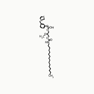 CCCCCCCCCCCCCCCCNC(=O)OCC(COP(O)Oc1cccc(CN2C=CSC2)c1)OC